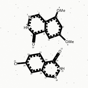 COc1cc(OC)c2cn[nH]c(=O)c2c1.O=c1[nH]ncc2cc(Cl)ccc12